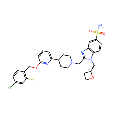 NS(=O)(=O)c1ccc2c(c1)nc(CN1CCC(c3cccc(OCc4ccc(Cl)cc4F)n3)CC1)n2C[C@@H]1CCO1